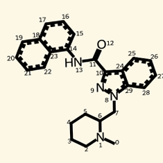 CN1CCCCC1Cn1nc(C(=O)Nc2cccc3ccccc23)c2ccccc21